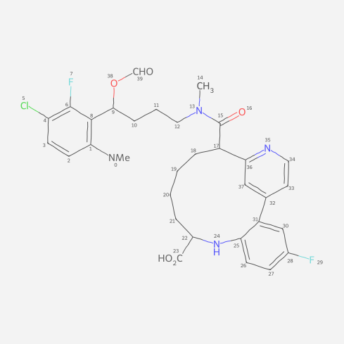 CNc1ccc(Cl)c(F)c1C(CCCN(C)C(=O)C1CCCCC(C(=O)O)Nc2ccc(F)cc2-c2ccnc1c2)OC=O